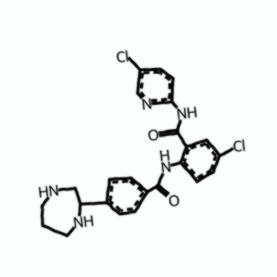 O=C(Nc1ccc(Cl)cc1C(=O)Nc1ccc(Cl)cn1)c1ccc(C2CNCCCN2)cc1